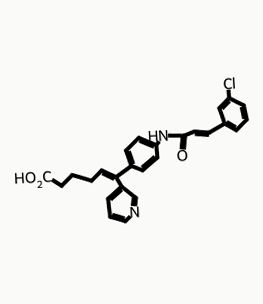 O=C(O)CCCC=C(c1ccc(NC(=O)C=Cc2cccc(Cl)c2)cc1)c1cccnc1